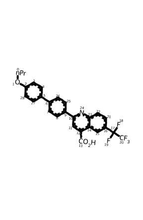 CCCOc1ccc(-c2ccc(-c3cc(C(=O)O)c4cc(C(F)(F)C(F)(F)F)ccc4n3)cc2)cc1